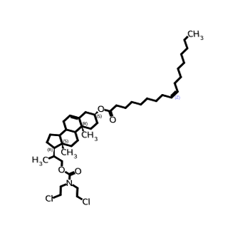 CCCCCCCC/C=C\CCCCCCCC(=O)O[C@H]1CC[C@@]2(C)C(=CCC3C2CC[C@@]2(C)C3CC[C@@H]2C(C)COC(=O)N(CCCl)CCCl)C1